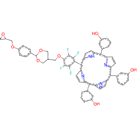 Oc1cccc(-c2c3nc(c(-c4cccc(O)c4)c4ccc([nH]4)c(-c4c(F)c(F)c(OCC5COC(c6ccc(OCC7CO7)cc6)OC5)c(F)c4F)c4nc(c(-c5cccc(O)c5)c5ccc2[nH]5)C=C4)C=C3)c1